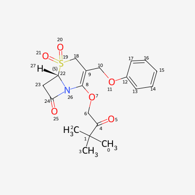 CC(C)(C)C(=O)COC1=C(COc2ccccc2)CS(=O)(=O)[C@H]2CC(=O)N12